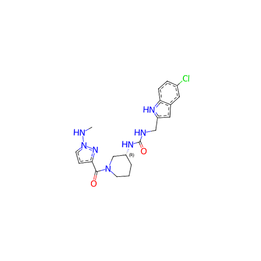 CNn1ccc(C(=O)N2CCC[C@@H](NC(=O)NCc3cc4cc(Cl)ccc4[nH]3)C2)n1